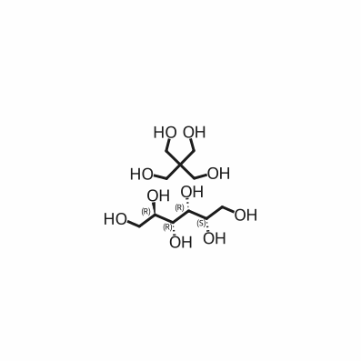 OCC(CO)(CO)CO.OC[C@@H](O)[C@@H](O)[C@H](O)[C@@H](O)CO